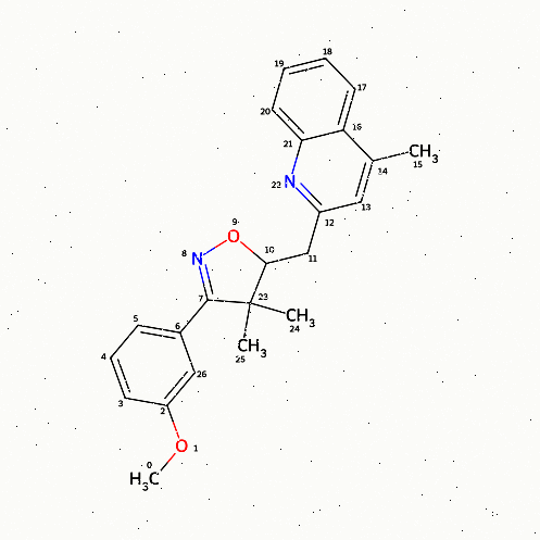 COc1cccc(C2=NOC(Cc3cc(C)c4ccccc4n3)C2(C)C)c1